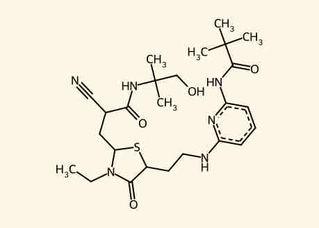 CCN1C(=O)C(CCNc2cccc(NC(=O)C(C)(C)C)n2)SC1CC(C#N)C(=O)NC(C)(C)CO